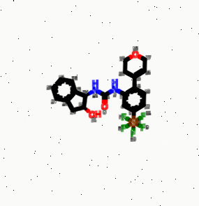 O=C(Nc1cc(S(F)(F)(F)(F)F)ccc1C1=CCOCC1)N[C@@H]1c2ccccc2C[C@@H]1O